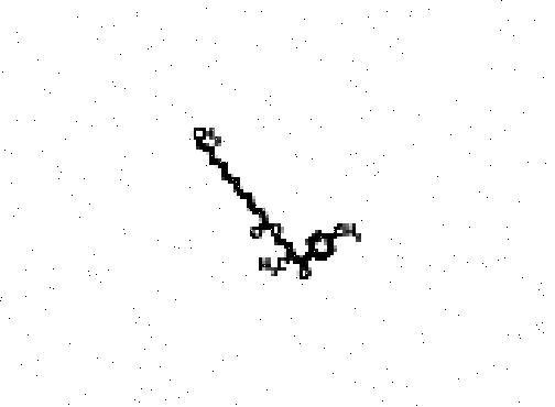 CCCCCCCCCCCC(=O)OCCN(C)C(=O)c1ccc(C)cc1